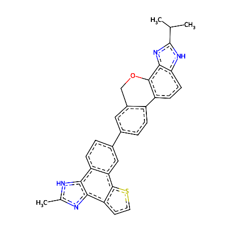 Cc1nc2c3ccsc3c3cc(-c4ccc5c(c4)COc4c-5ccc5[nH]c(C(C)C)nc45)ccc3c2[nH]1